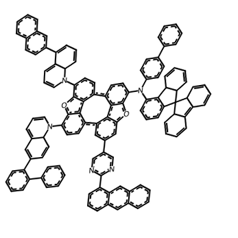 C1=CC2=C3C=CC=CC3C3(c4cccc(N(c5ccc(-c6ccccc6)cc5)c5ccc6c7ccc(N8C=CC=C9C(c%10ccc%11ccccc%11c%10)=CC=CC98)c8oc9c(N%10C=CC=C%11C=C(c%12ccccc%12-c%12ccccc%12)C=CC%11%10)ccc(c%10cc(-c%11cnc(-c%12cccc%13cc%14ccccc%14cc%12%13)nc%11)cc%11oc5c6c%11%10)c9c87)c4C4C=CC=CC43)C2C=C1